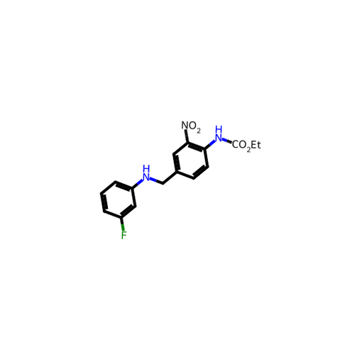 CCOC(=O)Nc1ccc(CNc2cccc(F)c2)cc1[N+](=O)[O-]